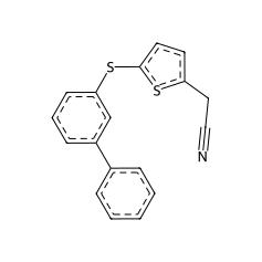 N#CCc1ccc(Sc2cccc(-c3ccccc3)c2)s1